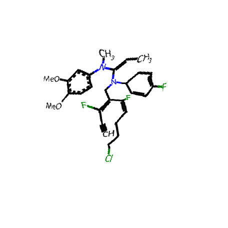 C#C/C(F)=C(CN(/C(=C\C)N(C)c1ccc(OC)c(OC)c1)C1C=CC(F)=CC1)\C(F)=C/CCCCl